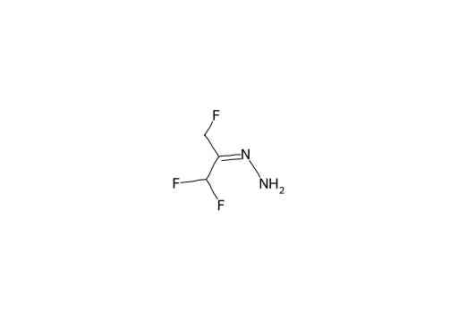 NN=C(CF)C(F)F